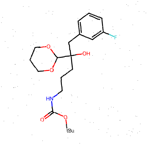 CC(C)(C)OC(=O)NCCCC(O)(Cc1cccc(F)c1)C1OCCCO1